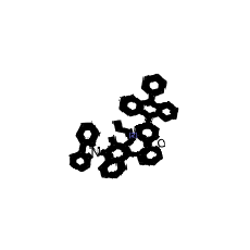 C=C/C=C\c1c(C)c(-n2c3ccccc3c3ccccc32)c2ccccc2c1-c1cccc2oc3cc(-c4c5ccccc5c(-c5ccccc5)c5ccccc45)ccc3c12